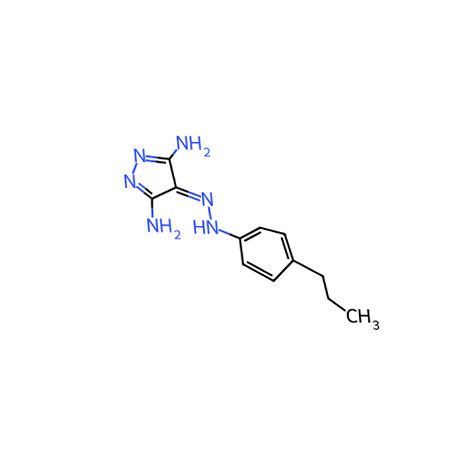 CCCc1ccc(NN=C2C(N)=NN=C2N)cc1